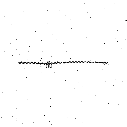 CCCCCCCCCCCCCCCCCCCCCCCCCCCCCCCCCCCC(=O)OC(=O)CCCCCCCCCCCCCCCCC